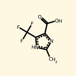 Cc1nc(C(=O)O)c(C(F)(F)F)[nH]1